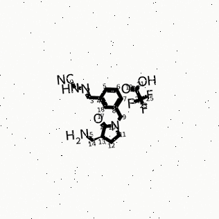 N#CNN=Cc1cccc(CN2CC[C@@H](CN)C2=O)c1.O=C(O)C(F)(F)F